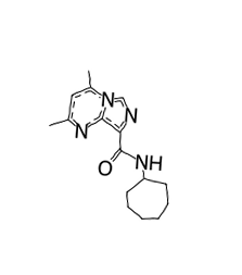 Cc1cc(C)n2cnc(C(=O)NC3CCCCCC3)c2n1